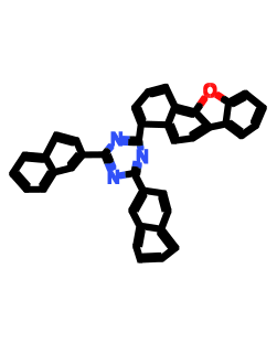 c1ccc2cc(-c3nc(-c4ccc5ccccc5c4)nc(-c4cccc5c4ccc4c6ccccc6oc54)n3)ccc2c1